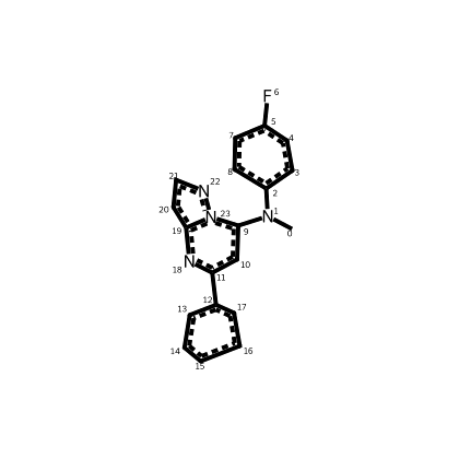 CN(c1ccc(F)cc1)c1cc(-c2ccccc2)nc2ccnn12